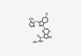 CCCNC(=O)c1c[nH]c2ncc(-c3nn(Cc4nccn4C)c4cc(Cl)ccc34)nc12